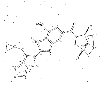 COc1cc(C(=O)N2C[C@H]3CC4C[C@@H]2[C@H]43)cc2nc(-c3cc4ccsc4n3CC3CC3)n(C)c12